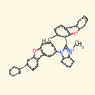 Cc1ccc2c(oc3ccccc32)c1-c1n(-c2ccc3oc4cc(-c5ccccc5)ccc4c3c2)c2ccccc2[n+]1C